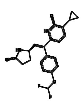 O=C1CC[C@H](/C=C(\c2ccc(OC(F)F)cc2)c2ccc(C3CC3)c(=O)[nH]2)N1